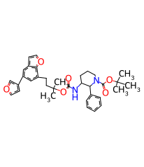 CC(C)(C)OC(=O)N1CCCC(NC(=O)OC(C)(C)CCc2cc(-c3ccoc3)cc3ccoc23)C1c1ccccc1